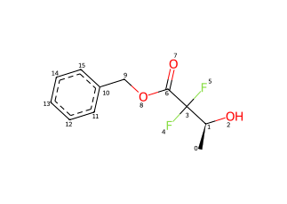 C[C@H](O)C(F)(F)C(=O)OCc1ccccc1